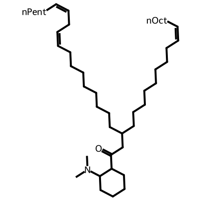 CCCCC/C=C\C/C=C\CCCCCCCCC(CCCCCCCC/C=C\CCCCCCCC)CC(=O)C1CCCCC1N(C)C